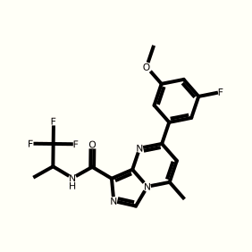 COc1cc(F)cc(-c2cc(C)n3cnc(C(=O)NC(C)C(F)(F)F)c3n2)c1